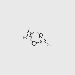 CC(C)c1cccc(SC[C@H]2C(O)CC(=O)[C@@H]2CCCc2ccc(C(=O)OCCO)s2)c1